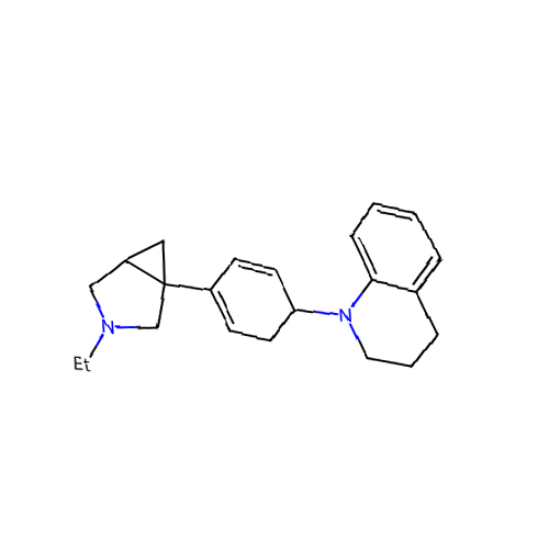 CCN1CC2CC2(C2=CCC(N3CCCc4ccccc43)C=C2)C1